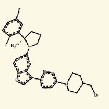 C[C@]1(c2cc(F)ccc2F)CCCN1c1ccn2ncc(-c3ccc(N4CCC(CC#N)CC4)cn3)c2n1